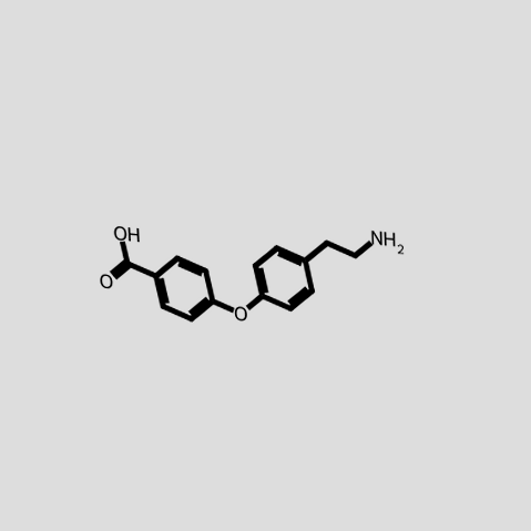 NCCc1ccc(Oc2ccc(C(=O)O)cc2)cc1